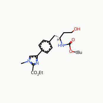 CCOC(=O)c1nc(-c2ccc(C[C@H](CCO)NC(=O)OC(C)(C)C)cc2)cn1C